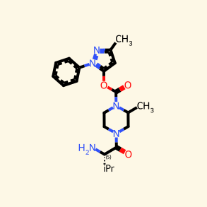 Cc1cc(OC(=O)N2CCN(C(=O)[C@@H](N)C(C)C)CC2C)n(-c2ccccc2)n1